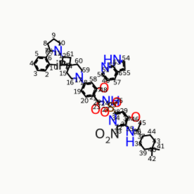 CC(C)c1ccccc1[C@H]1CCCN1C1CC2(CCN(c3ccc(C(=O)NS(=O)(=O)c4cc5c(c([N+](=O)[O-])n4)N[C@@H](C4CCC(C)(C)CC4)CO5)c(Oc4cnc5[nH]ccc5c4)c3)CC2)C1